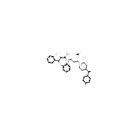 CC(=O)O.O=C(c1ccc(F)cc1)C1CCN(CCCN2C(=O)C(O)C(c3ccccc3)Sc3ccccc32)CC1